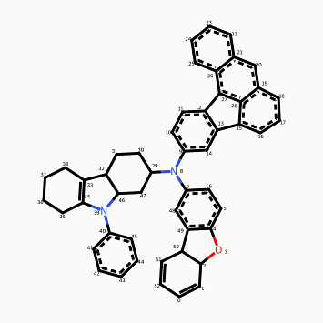 C1=CC2Oc3ccc(N(c4ccc5c(c4)-c4cccc6cc7ccccc7c-5c46)C4CCC5C6=C(CCCC6)N(c6ccccc6)C5C4)cc3C2C=C1